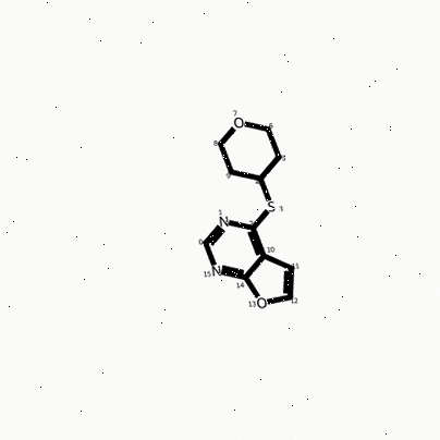 c1nc(SC2CCOCC2)c2ccoc2n1